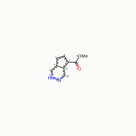 COC(=O)c1ccc2c[nH]ncc1-2